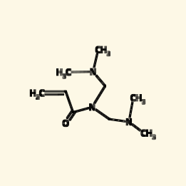 C=CC(=O)N(CN(C)C)CN(C)C